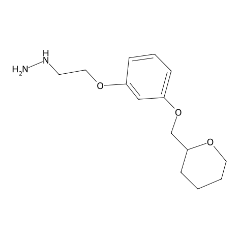 NNCCOc1cccc(OCC2CCCCO2)c1